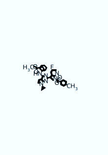 COC(=O)C1C2CCC(CC2)C1Nc1nc(-c2cn(S(=O)(=O)c3ccc(C)cc3)c3ncc(F)cc23)nc2c1ccn2C1CC1